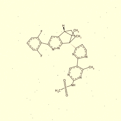 Cc1nc(NS(C)(=O)=O)ncc1-c1nccc([C@]23CC[C@@H](c4cc(-c5c(F)cccc5F)nnc42)C3(C)C)n1